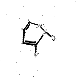 CCC1=CC=CNB1Cl